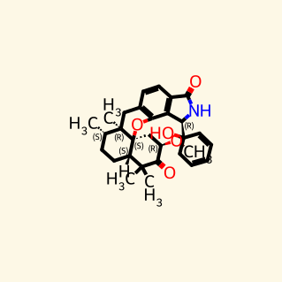 CO[C@@H]1C[C@@]23Oc4c(ccc5c4[C@H](C4(O)C=CC=CC4)NC5=O)C[C@]2(C)[C@@H](C)CC[C@H]3C(C)(C)C1=O